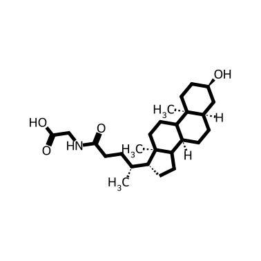 C[C@H](CCC(=O)NCC(=O)O)[C@H]1CCC2[C@@H]3CC[C@@H]4C[C@H](O)CC[C@]4(C)C3CC[C@@]21C